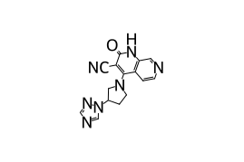 N#Cc1c(N2CCC(n3cncn3)C2)c2ccncc2[nH]c1=O